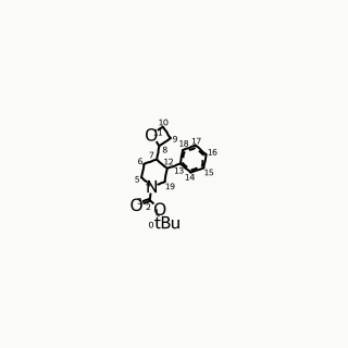 CC(C)(C)OC(=O)N1CCC(C2CCO2)C(c2ccccc2)C1